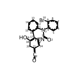 NC(=O)N(c1ccccc1Br)c1ccccc1C1=C(O)CC(=C=O)C=C1